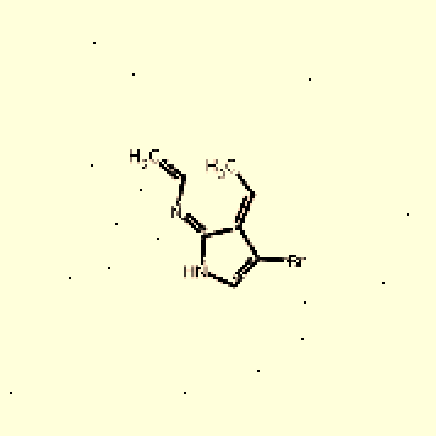 C=C/N=C1/NC=C(Br)/C1=C/C